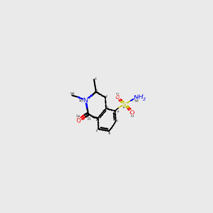 CC1Cc2c(cccc2S(N)(=O)=O)C(=O)N1C